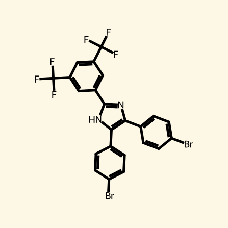 FC(F)(F)c1cc(-c2nc(-c3ccc(Br)cc3)c(-c3ccc(Br)cc3)[nH]2)cc(C(F)(F)F)c1